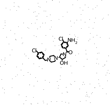 Nc1cc(C(=O)N2C[C@@H](O)[C@H](N3CCN(Cc4ccc(Cl)cc4)CC3)C2)ccc1Cl